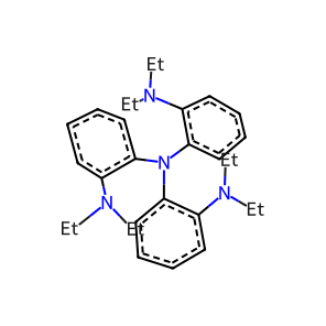 CCN(CC)c1ccccc1N(c1ccccc1N(CC)CC)c1ccccc1N(CC)CC